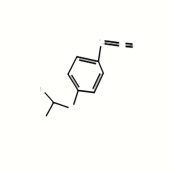 O=C=Nc1ccc(OC(F)C(F)(F)F)cc1